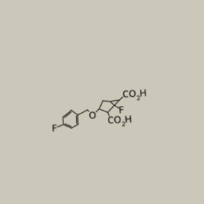 O=C(O)C1C(OCc2ccc(F)cc2)CC2C(C(=O)O)C21F